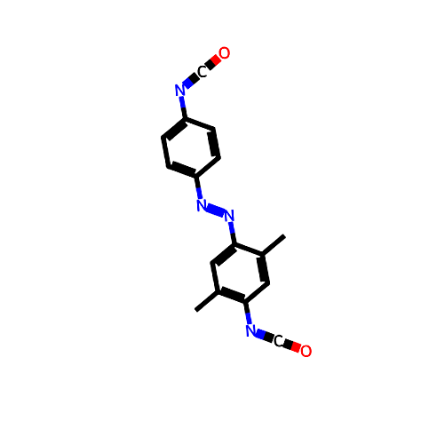 Cc1cc(N=Nc2ccc(N=C=O)cc2)c(C)cc1N=C=O